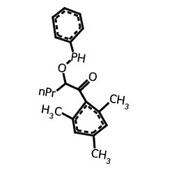 CCCC(OPc1ccccc1)C(=O)c1c(C)cc(C)cc1C